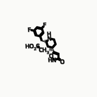 CC(=O)O.O=c1cc([C@H]2CCN[C@@H](Cc3cc(F)cc(F)c3)C2)o[nH]1